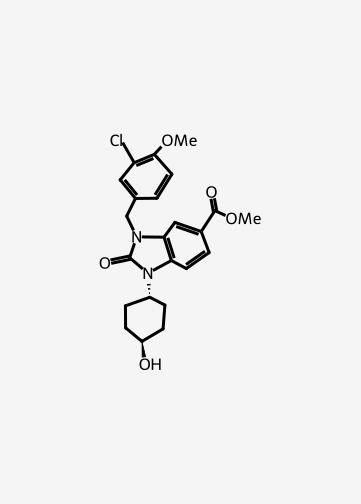 COC(=O)c1ccc2c(c1)n(Cc1ccc(OC)c(Cl)c1)c(=O)n2[C@H]1CC[C@H](O)CC1